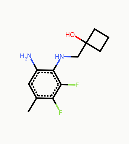 Cc1cc(N)c(NCC2(O)CCC2)c(F)c1F